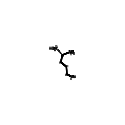 CCC(C)CCC[C@@H](N)C(=O)O